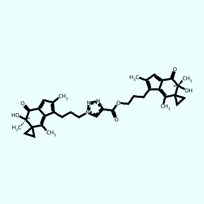 CC1=C(CCCOC(=O)c2cn(CCCC3=C(C)C=C4C(=O)[C@](C)(O)C5(CC5)C(C)=C43)nn2)C2=C(C)C3(CC3)[C@@](C)(O)C(=O)C2=C1